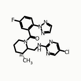 C[C@@H]1CCCN(C(=O)c2cc(F)ccc2-n2nccn2)C1CNc1ncc(Cl)cn1